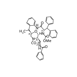 COC(=O)N[C@H](C(=O)Nc1ccccc1C(C)[C@@H]1CN(C(=O)O)[C@H](CNC(=O)c2ccccc2)CO1)C(c1ccccc1)c1ccccc1